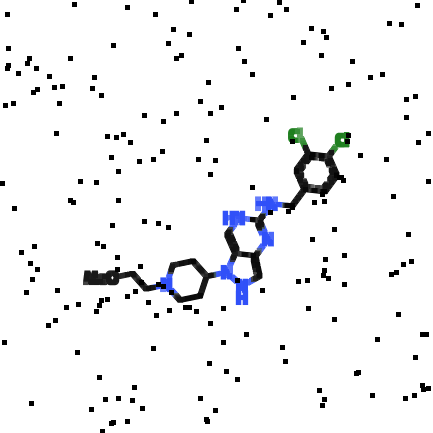 COCCN1CCC(N2NC=C3N=C(NCc4ccc(Cl)c(Cl)c4)NC=C32)CC1